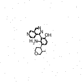 C[C@H]1COCC[C@H]1c1ccc(O)c(-c2nncc3cnccc23)c1N